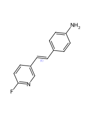 Nc1ccc(/C=C/c2ccc(F)nc2)cc1